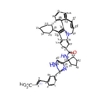 O=C(O)/C=C/c1cccc(-c2nc(C3(NC(=O)c4ccc5c(C6CCCCC6)c6n(c5c4)CC=Cc4ccccc4-6)CCCC3)c[nH]2)c1